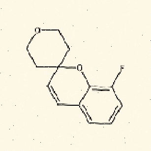 Fc1cccc2c1OC1(C=C2)CCOCC1